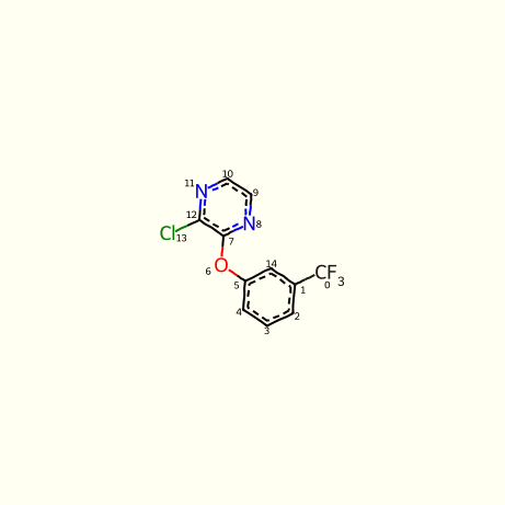 FC(F)(F)c1cccc(Oc2nccnc2Cl)c1